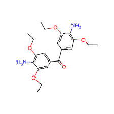 CCOc1cc(C(=O)c2cc(OCC)c(N)c(OCC)c2)cc(OCC)c1N